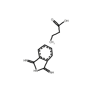 CCCC(=O)O.N=C1NC(=N)c2ccccc21